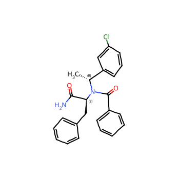 C[C@H](c1cccc(Cl)c1)N(C(=O)c1ccccc1)[C@@H](Cc1ccccc1)C(N)=O